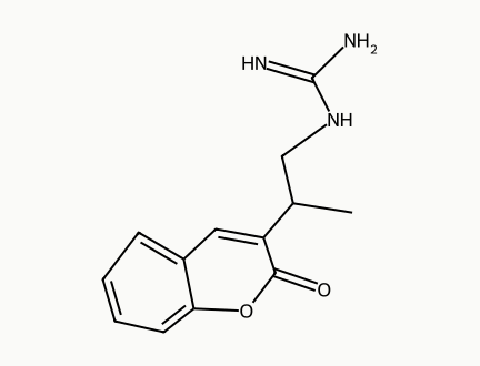 CC(CNC(=N)N)c1cc2ccccc2oc1=O